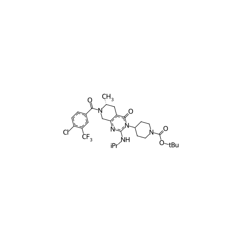 CC(C)Nc1nc2c(c(=O)n1C1CCN(C(=O)OC(C)(C)C)CC1)C[C@@H](C)N(C(=O)c1ccc(Cl)c(C(F)(F)F)c1)C2